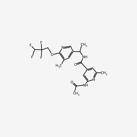 CC(=O)Nc1cc(C(=O)NC(C)c2cnc(OCC(F)(F)C(F)F)c(C)c2)cc(C)n1